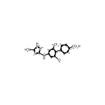 Nc1nc(Nc2cc(Cl)c(-c3ccc(C(=O)O)cc3)c(C(F)(F)F)c2)n[nH]1